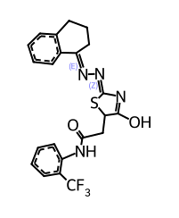 O=C(CC1S/C(=N\N=C2/CCCc3ccccc32)N=C1O)Nc1ccccc1C(F)(F)F